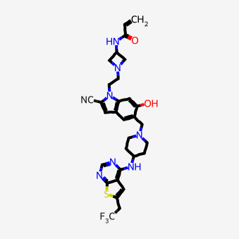 C=CC(=O)NC1CN(CCn2c(C#N)cc3cc(CN4CCC(Nc5ncnc6sc(CC(F)(F)F)cc56)CC4)c(O)cc32)C1